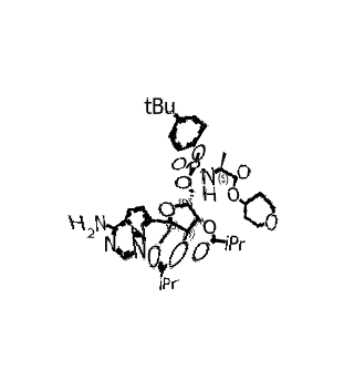 CC(C)C(=O)O[C@H]1[C@@H](OC(=O)C(C)C)[C@](C)(c2ccc3c(N)ncnn23)O[C@@H]1COP(=O)(N[C@@H](C)C(=O)OC1CCOCC1)Oc1ccc(C(C)(C)C)cc1